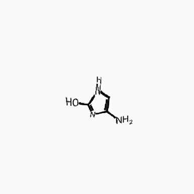 Nc1c[nH]c(O)n1